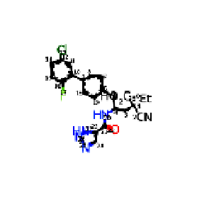 CC[C@](C#N)(CC(Cc1ccc(-c2cc(Cl)ccc2F)cc1)NC(=O)c1cnn[nH]1)C(=O)O